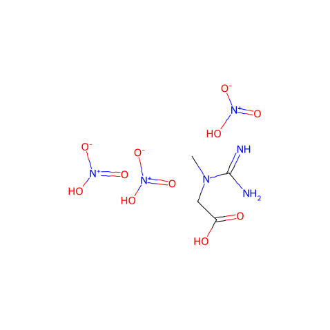 CN(CC(=O)O)C(=N)N.O=[N+]([O-])O.O=[N+]([O-])O.O=[N+]([O-])O